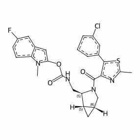 Cc1nc(C(=O)N2C[C@@H]3C[C@@H]3[C@H]2CNC(=O)Oc2cc3cc(F)ccc3n2C)c(-c2cccc(Cl)c2)s1